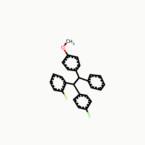 COc1ccc(C(c2ccccc2)C(c2ccc(F)cc2)c2ccccc2F)cc1